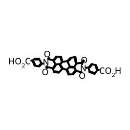 O=C(O)c1ccc(N2C(=O)c3ccc4c5ccc6c7c(ccc(c8ccc(c3c48)C2=O)c75)C(=O)N(c2ccc(C(=O)O)cc2)C6=O)cc1